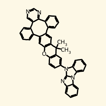 CC1(C)c2cc(-n3c4ccccc4n4c5ccccc5nc34)ccc2Oc2cc3c(cc21)-c1ccccc1-c1ncncc1-c1ccccc1-3